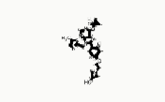 Cc1cnc(Cn2c(-c3ccc(OCCN4CC(O)C4)cc3Cl)nc3c(OC4(C)CC4)ncnc32)s1